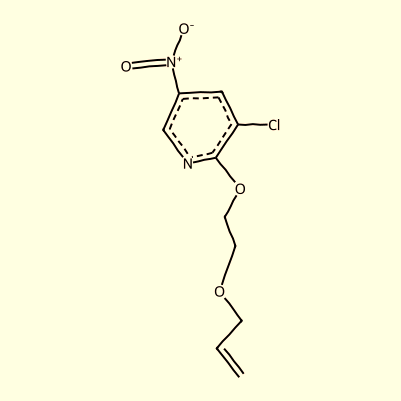 C=CCOCCOc1ncc([N+](=O)[O-])cc1Cl